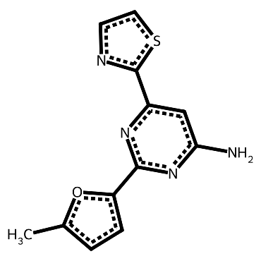 Cc1ccc(-c2nc(N)cc(-c3nccs3)n2)o1